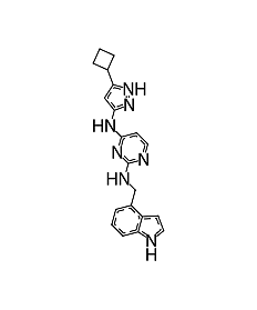 c1cc(CNc2nccc(Nc3cc(C4CCC4)[nH]n3)n2)c2cc[nH]c2c1